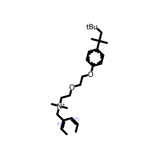 C/C=C\C(=C/C)C[N+](C)(C)CCOCCOc1ccc(C(C)(C)CC(C)(C)C)cc1